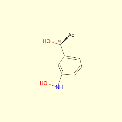 CC(=O)[C@H](O)c1cccc(NO)c1